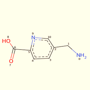 NCc1ccc(C(=O)O)nc1